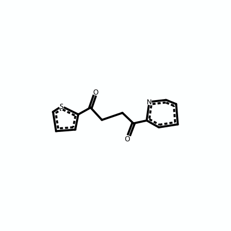 O=C(CCC(=O)c1cccs1)c1ccccn1